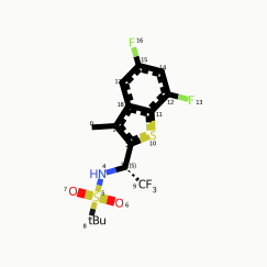 Cc1c([C@@H](NS(=O)(=O)C(C)(C)C)C(F)(F)F)sc2c(F)cc(F)cc12